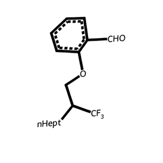 CCCCCCCC(COc1ccccc1C=O)C(F)(F)F